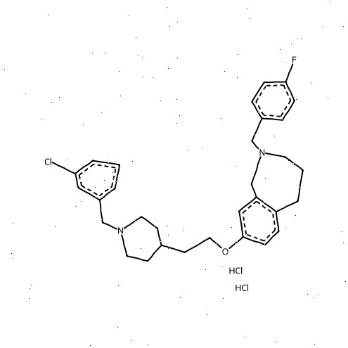 Cl.Cl.Fc1ccc(CN2CCCc3ccc(OCCC4CCN(Cc5cccc(Cl)c5)CC4)cc3C2)cc1